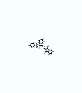 Cc1ccc(S(=O)(=O)n2c(C)c(CCN3C(=O)c4ccccc4C3=O)c3ccncc32)cc1